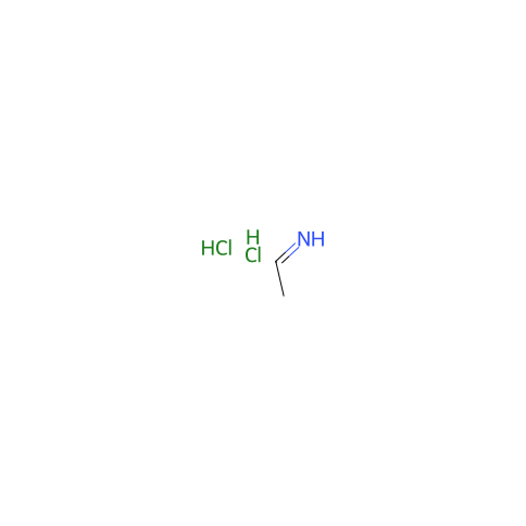 CC=N.Cl.Cl